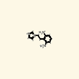 Nc1cccc(N)c1CCn1ccnc1